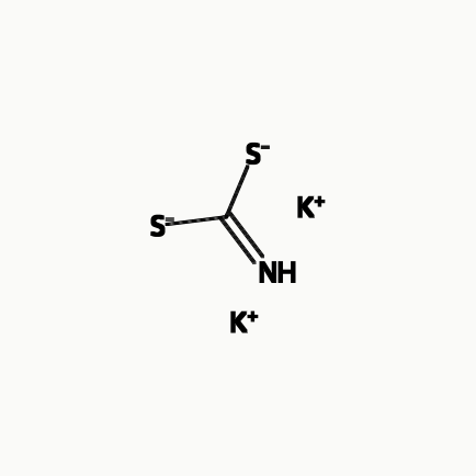 N=C([S-])[S-].[K+].[K+]